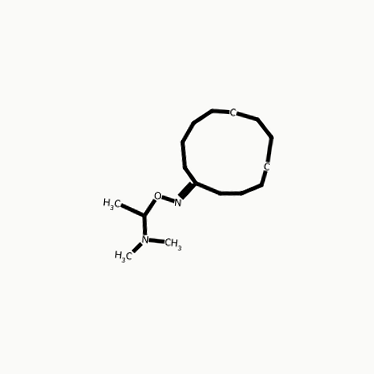 CC(ON=C1CCCCCCCCCCC1)N(C)C